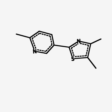 Cc1ccc(-c2nc(C)c(C)s2)cn1